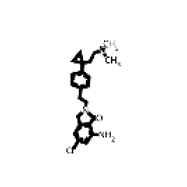 CN(C)CCC1(c2ccc(CCN3Cc4cc(Cl)cc(N)c4C3=O)cc2)CC1